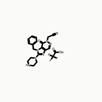 N#CCn1ncc2nc(N3CCNCC3)n(Cc3ccccc3)c2c1=O.O=C(O)C(F)(F)F